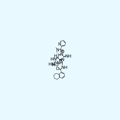 CN(C[C@@H]1NC(=N)N2CC(NC(=O)c3cccc4c3CCCC4)[C@@H](O)[C@@]23NC(=N)N[C@@H]13)C(=O)c1ccccn1